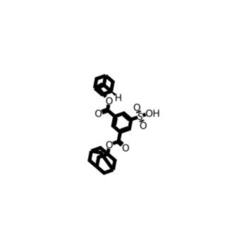 O=C(OC1=C2C3CC(C1)C[C@H]2C3)c1cc(C(=O)OC23CC4CC(CC(C4)C2)C3)cc(S(=O)(=O)O)c1